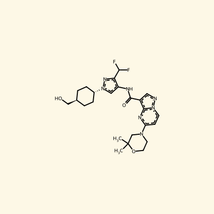 CC1(C)CN(c2ccn3ncc(C(=O)Nc4cn([C@H]5CC[C@H](CO)CC5)nc4C(F)F)c3n2)CCO1